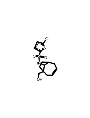 O=S(=O)(NC1C2CC=CCC1(CO)CC2)c1ccc(Cl)s1